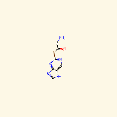 NCC(=O)Sc1ncc2[nH]cnc2n1